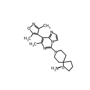 Cc1noc(C)c1-c1c(C)nc(N2CCC3(CCC[C@H]3N)CC2)n2ccnc12